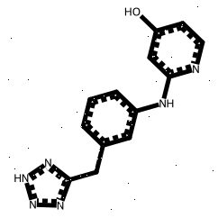 Oc1ccnc(Nc2cccc(Cc3nn[nH]n3)c2)c1